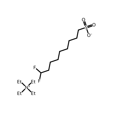 CC[N+](CC)(CC)CC.O=S(=O)([O-])CCCCCCCCC(F)F